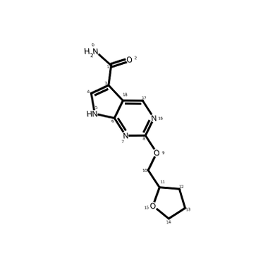 NC(=O)c1c[nH]c2nc(OCC3CCCO3)ncc12